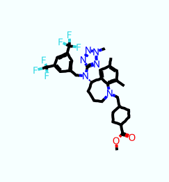 COC(=O)C1CCC(CN2CCC[C@H](N(Cc3cc(C(F)(F)F)cc(C(F)(F)F)c3)c3nnn(C)n3)c3cc(C)cc(C)c32)CC1